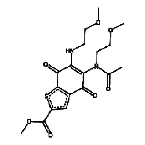 COCCNC1=C(N(CCOC)C(C)=O)C(=O)c2cc(C(=O)OC)sc2C1=O